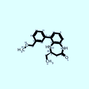 CC[C@@H]1CC(=O)Nc2cccc(-c3cccc(COC)c3)c2N1